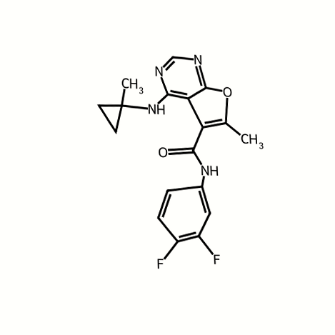 Cc1oc2ncnc(NC3(C)CC3)c2c1C(=O)Nc1ccc(F)c(F)c1